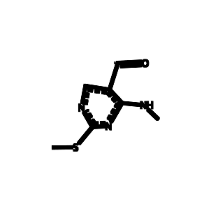 CNc1nc(SC)ncc1[C]=O